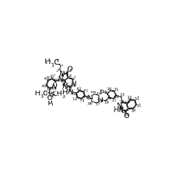 C=CCn1c(=O)c2cnc(Nc3ccc(N4CCN(Cc5cc(Cc6n[nH]c(=O)c7ccccc67)ccc5F)CC4)cc3)nc2n1-c1cccc(C(C)(C)O)n1